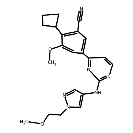 COCCn1cc(Nc2nccc(-c3cc(C#N)c(C4CCC4)c(OC)c3)n2)cn1